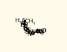 CC(C)c1noc(N2CCC(Oc3nc4ccc(-c5ccc(C[SH](=O)=O)cc5)nc4s3)C(F)C2)n1